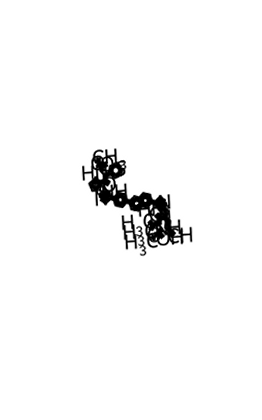 C#CCCN(Cc1ncc(-c2ccc3cc(-c4ccc(-c5cnc([C@@H]6CCCN6C(=O)[C@@H](NC(=O)OC)C6CCSCC6)[nH]5)cc4)ccc3c2)[nH]1)C(=O)[C@@H](NC(O)OC)C(C)C